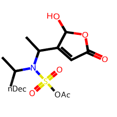 CCCCCCCCCCC(C)N(C(C)C1=CC(=O)OC1O)S(=O)(=O)OC(C)=O